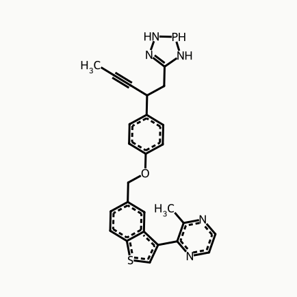 CC#CC(CC1=NNPN1)c1ccc(OCc2ccc3scc(-c4nccnc4C)c3c2)cc1